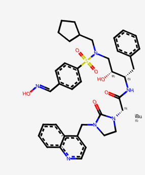 CC[C@H](C)[C@@H](C(=O)N[C@@H](Cc1ccccc1)[C@H](O)CN(CC1CCCC1)S(=O)(=O)c1ccc(C=NO)cc1)N1CCN(Cc2ccnc3ccccc23)C1=O